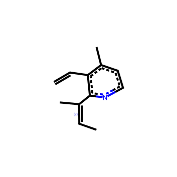 C=Cc1c(C)ccnc1/C(C)=C\C